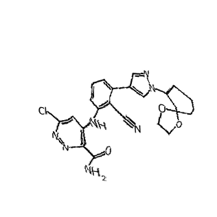 N#Cc1c(Nc2cc(Cl)nnc2C(N)=O)cccc1-c1cnn(C2CCCC23OCCO3)c1